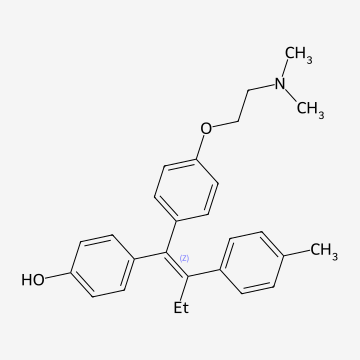 CC/C(=C(\c1ccc(O)cc1)c1ccc(OCCN(C)C)cc1)c1ccc(C)cc1